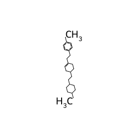 CCc1ccc(CCC2=CCC(CCC3CCC(CC)CC3)CC2)cc1